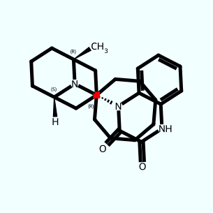 C[C@@]12CCC[C@@H](C[C@@H](n3c(=O)c(=O)[nH]c4ccccc43)C1)N2C1CCCCCCC1